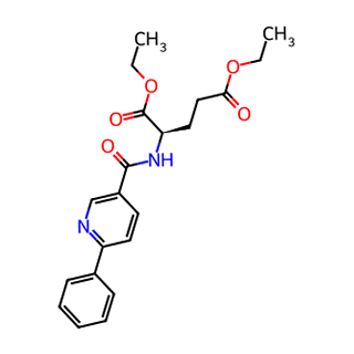 CCOC(=O)CC[C@@H](NC(=O)c1ccc(-c2ccccc2)nc1)C(=O)OCC